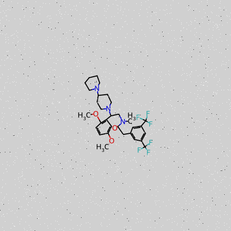 COc1ccc(OC)c(C(CN(C)C(=O)Cc2cc(C(F)(F)F)cc(C(F)(F)F)c2)N2CCC(N3CCCCC3)CC2)c1